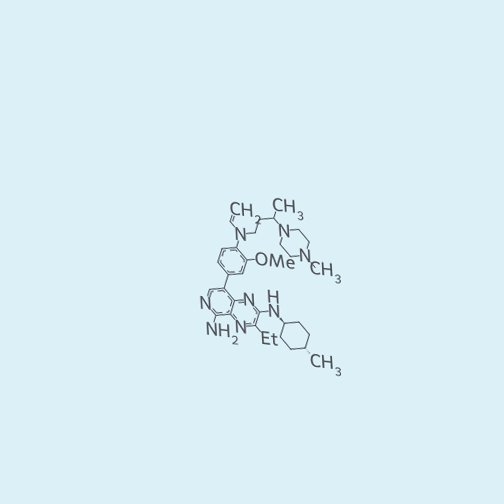 C=CN(CCC(C)N1CCN(C)CC1)c1ccc(-c2cnc(N)c3nc(CC)c(N[C@H]4CC[C@H](C)CC4)nc23)cc1OC